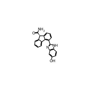 NC(=O)[C@@H]1c2ccccc2-c2c(-c3nc4cc(O)ccc4[nH]3)cccc21